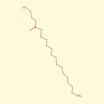 CCCCCCCCCCCCCCCC(=O)[CH]CCO